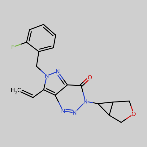 C=Cc1c2nnn(C3C4COCC43)c(=O)c2nn1Cc1ccccc1F